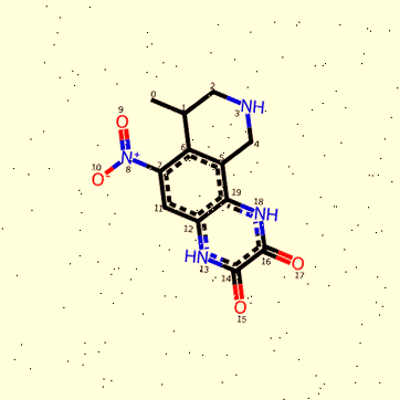 CC1CNCc2c1c([N+](=O)[O-])cc1[nH]c(=O)c(=O)[nH]c21